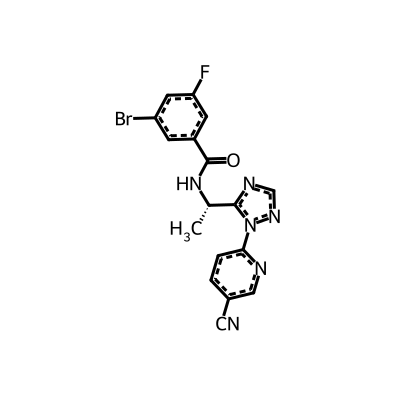 C[C@H](NC(=O)c1cc(F)cc(Br)c1)c1ncnn1-c1ccc(C#N)cn1